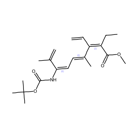 C=CC(=C(\CC)C(=O)OC)/C(C)=C/C=C(/NC(=O)OC(C)(C)C)C(=C)C